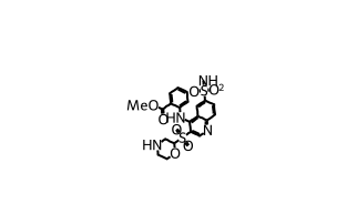 COC(=O)c1ccccc1Nc1c(S(=O)(=O)C2CNCCO2)cnc2ccc(S(N)(=O)=O)cc12